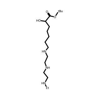 CCNCCNCCNCCCCCC(O)C(=O)OC(C)(C)C